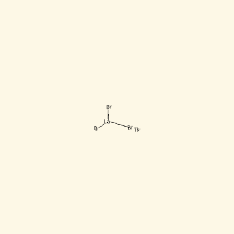 [Br][La]([Br])[Br].[Tb]